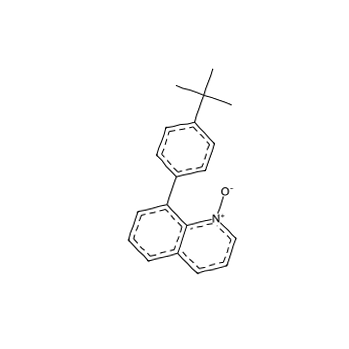 CC(C)(C)c1ccc(-c2cccc3ccc[n+]([O-])c23)cc1